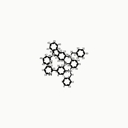 c1ccc(CN2c3ccc(-c4ccccn4)cc3B3c4cc5c(cc4N(Cc4ccccc4)c4cccc2c43)c2ccccc2n5-c2ccccn2)cc1